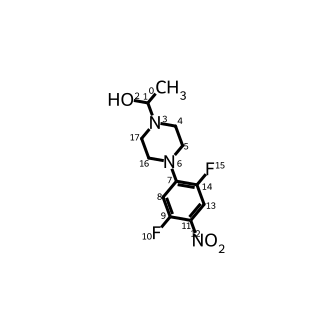 CC(O)N1CCN(c2cc(F)c([N+](=O)[O-])cc2F)CC1